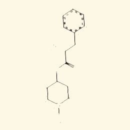 N[C@H](Cc1ccccc1)C(=O)OC1CCN(Cl)CC1